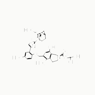 CCOC(=O)[C@@]12CCN(c3nc(-c4cc(C)ccc4OCc4cc(C)c5c(c4C)CCN(C(=O)OC(C)(C)C)C5)cs3)CC1C2